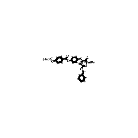 CCCCCCCOc1ccc(C(=O)Oc2ccc(C[C@H](NC(=O)OCc3ccccc3)C(=O)OC(C)(C)C)cc2)cc1